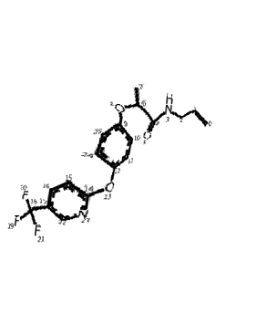 C=CCNC(=O)C(C)Oc1ccc(Oc2ccc(C(F)(F)F)cn2)cc1